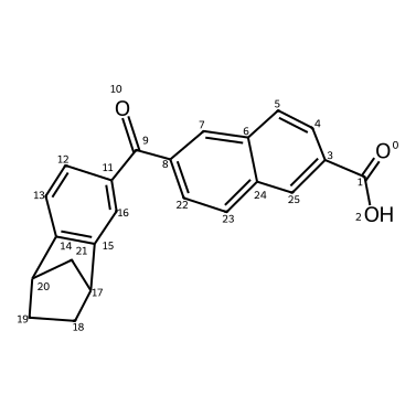 O=C(O)c1ccc2cc(C(=O)c3ccc4c(c3)C3CCC4C3)ccc2c1